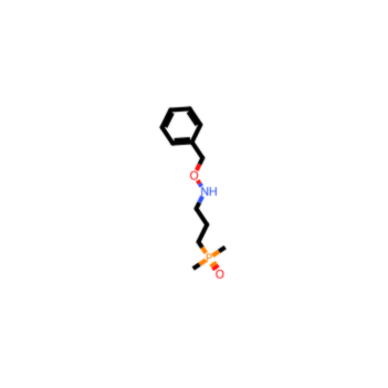 CP(C)(=O)CCCNOCc1ccccc1